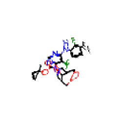 CCc1cccc(Nc2ncnc(OC3C4COCC3CN(C(=O)OC3(C)CC3)C4)c2F)c1F